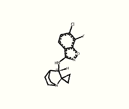 Fc1c(Cl)ccc2c(N[C@H]3C4CCN(CC4)C34CC4)noc12